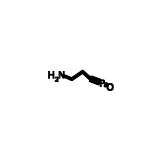 NCCC#P=O